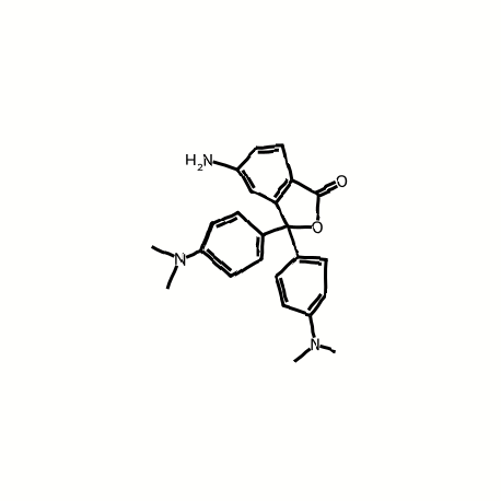 CN(C)c1ccc(C2(c3ccc(N(C)C)cc3)OC(=O)c3ccc(N)cc32)cc1